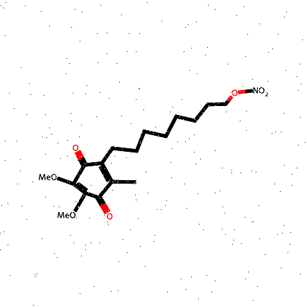 COC1=C(OC)C(=O)C(CCCCCCCCO[N+](=O)[O-])=C(C)C1=O